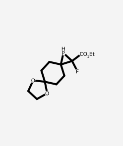 CCOC(=O)C1(F)PC12CCC1(CC2)OCCO1